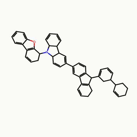 C1=CC(C2C=CCCC2)CC(C2C3=C(C=CCC3)c3cc(C4=CC5C6C=CC=CC6N(C6CC=Cc7c6oc6ccccc76)C5C=C4)ccc32)=C1